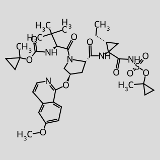 CC[C@@H]1C[C@]1(NC(=O)[C@@H]1C[C@@H](Oc2nccc3cc(OC)ccc23)CN1C(=O)[C@@H](NC(=O)OC1(C)CC1)C(C)(C)C)C(=O)NS(=O)(=O)OC1(C)CC1